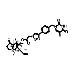 C=C[C@@]1(C)C[C@H](C)[C@]23CCC(=O)[C@H]2[C@@](C)(C(C)CC3)[C@H](OC(=O)Cn2cc(-c3ccc(Cn4cc(C)c(=O)[nH]c4=O)cc3)nn2)C1